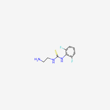 NCCNC(=S)Nc1c(F)cccc1F